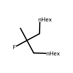 CCCCCCCC(C)(F)CCCCCCC